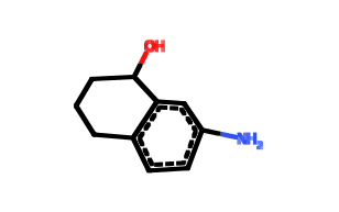 Nc1ccc2c(c1)C(O)CCC2